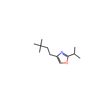 CC(C)c1nc(CCC(C)(C)C)co1